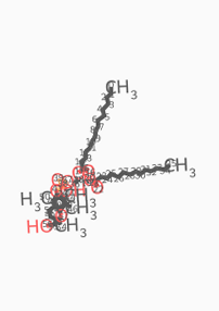 CCCCCCCCCCCCCCCC(=O)O[C@H](COC(=O)CCCCCCCCCCCCC)COP(=O)(O)Oc1c(C)c(C)c2c(c1C)CCC(C)(CO)O2